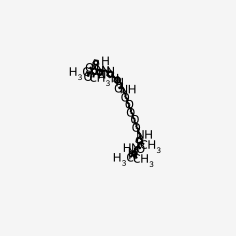 CC(=O)c1c(C)c2cnc(Nc3ccc(N4CCN(CC(=O)NCCOCCOCCOCCOCCOCCNc5ccc(C(=O)Nc6cc(C)n(C)n6)c(C)c5)CC4)cn3)nc2n(C2CCCC2)c1=O